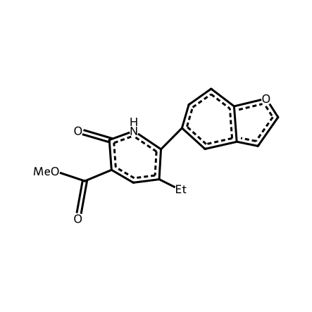 CCc1cc(C(=O)OC)c(=O)[nH]c1-c1ccc2occc2c1